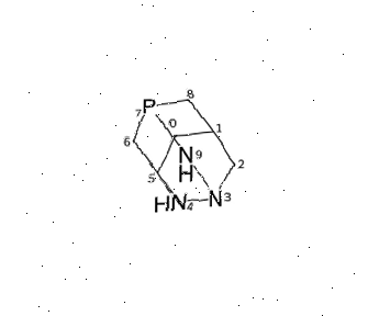 C1C2CN3NC1CP(C2)N3